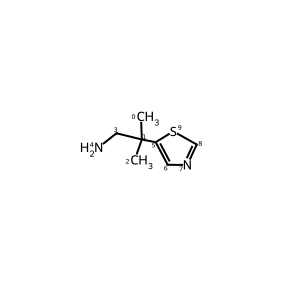 CC(C)(CN)c1cncs1